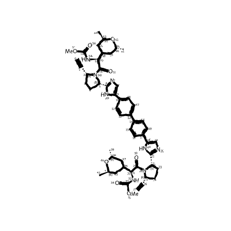 C#C[C@H]1CC[C@@H](c2ncc(-c3ccc(-c4ccc(-c5cnc([C@@H]6CC[C@H](C#C)N6C(=O)[C@@H](NC(=O)OC)C6C[C@@H](C)O[C@H](C)C6)[nH]5)cc4)cc3)[nH]2)N1C(=O)[C@@H](NC(=O)OC)C1C[C@@H](C)O[C@H](C)C1